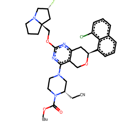 CC(C)(C)OC(=O)N1CCN(c2nc(OC[C@@]34CCCN3C[C@H](F)C4)nc3c2CO[C@H](c2cccc4cccc(Cl)c24)C3)C[C@@H]1CC#N